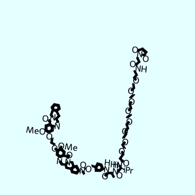 COc1cc2c(cc1OCCCOc1cc3c(cc1OC)C(=O)N1Cc4cc(N(C)C(=O)OCc5ccc(NC(=O)C(C)NC(=O)[C@@H](NC(=O)CCOCCOCCOCCOCCOCCOCCOCCOCCCNC(=O)CCN6C(=O)C=CC6=O)C(C)C)cc5)ccc4CC1C=N3)N=CC1Cc3ccccc3CN1C2=O